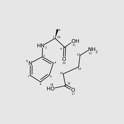 C[C@H](Nc1ccccn1)C(=O)O.NCCCC(=O)O